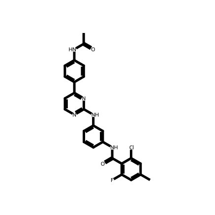 CC(=O)Nc1ccc(-c2ccnc(Nc3cccc(NC(=O)c4c(F)cc(C)cc4Cl)c3)n2)cc1